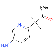 CNC(=O)C(C)(C)c1ccc(N)cn1